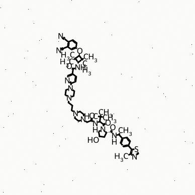 Cc1ncsc1-c1ccc(C(C)NC(=O)[C@@H]2C[C@@H](O)CN2C(=O)C(NC(=O)CN2CCN(CCCN3CCN(c4ccc(C(=O)N[C@H]5C(C)(C)[C@H](Oc6ccc(C#N)c(C#N)c6)C5(C)C)cn4)CC3)CC2)C(C)(C)C)cc1